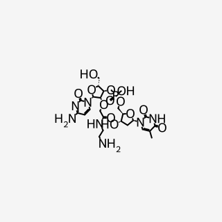 Cc1cn([C@H]2C[C@H](O)[C@@H](COP(=O)(O)O[C@H]3[C@@H](OCC(=O)NCCN)[C@H](n4ccc(N)nc4=O)O[C@@H]3CO)O2)c(=O)[nH]c1=O